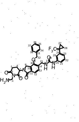 NCN1C(=O)CCC(N2Cc3c(ccc(CNC(=O)Nc4cccc(C5(C(F)(F)F)CC5)c4)c3OCc3ccccc3)C2=O)C1=O